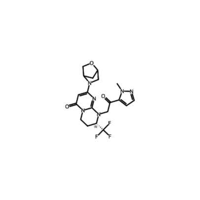 Cn1nccc1C(=O)CN1c2nc(N3CC4CC3CO4)cc(=O)n2CC[C@H]1C(F)(F)F